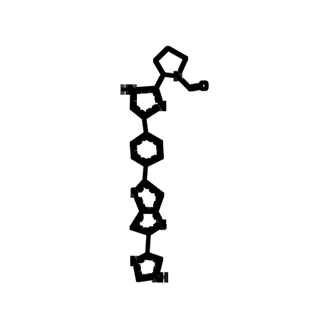 O=CN1CCCC1c1nc(-c2ccc(-c3cc4sc(-c5c[nH]cn5)cc4s3)cc2)c[nH]1